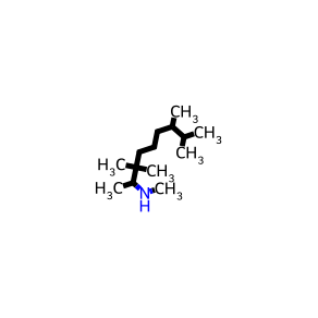 CNC(C)C(C)(C)CCCC(C)C(C)C